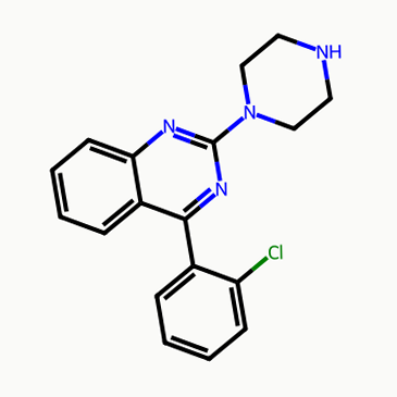 Clc1ccccc1-c1nc(N2CCNCC2)nc2ccccc12